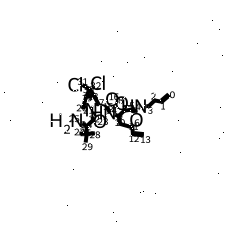 C=CCCNC(=O)C(=O)C(CCC=C)NC(=O)[C@@H]1C2C(CN1C(=O)C(N)C(C)(C)C)C2(Cl)Cl